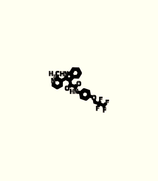 Cc1ncccc1-c1[nH]c2ccccc2c1C(=O)C(=O)Nc1ccc(OCC(F)(F)C(F)F)cc1